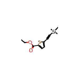 CCOC(=O)c1ccc(C#C[Si](C)(C)C)s1